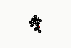 c1ccc(-c2nc(-c3ccccc3)nc(-c3cc(-c4c(-c5ccccc5)cccc4-c4ccccc4)cnc3-c3cccc4c3sc3c4ccc4c3c3ccccc3n4-c3ccccc3)n2)cc1